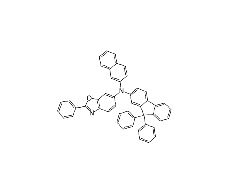 c1ccc(-c2nc3ccc(N(c4ccc5c(c4)C(c4ccccc4)(c4ccccc4)c4ccccc4-5)c4ccc5ccccc5c4)cc3o2)cc1